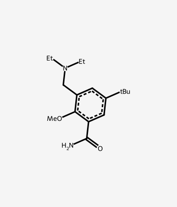 CCN(CC)Cc1cc(C(C)(C)C)cc(C(N)=O)c1OC